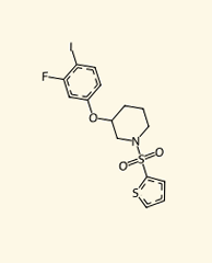 O=S(=O)(c1cccs1)N1CCCC(Oc2ccc(I)c(F)c2)C1